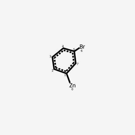 [Zn][c]1cccc(Br)c1